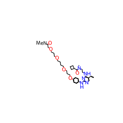 C=Cc1cnc(Nc2ccc(OCCCOCCCCOCCCOCC(=O)NC)cc2)nc1NCCN(C)C(=O)C1CCC1